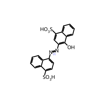 O=S(=O)(O)c1ccc(/N=N/c2cc(S(=O)(=O)O)c3ccccc3c2O)c2ccccc12